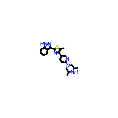 Cc1sc(-c2n[nH]c3ccccc23)nc1-c1ccc(N2CC(C)NC(C)C2)nc1